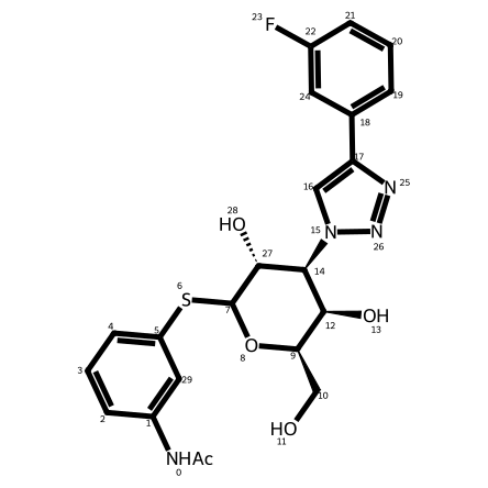 CC(=O)Nc1cccc(SC2O[C@H](CO)[C@H](O)[C@H](n3cc(-c4cccc(F)c4)nn3)[C@H]2O)c1